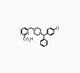 O=C(O)c1cccc(CN2CCN(C(c3ccccc3)c3ccc(Cl)cc3)CC2)n1